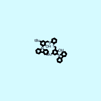 CC(C)(C)c1cc(CSc2ccccc2SCc2cc(C(C)(C)C)cc(-n3c4ccccc4c4ccccc43)c2O)c(O)c(-n2c3ccccc3c3ccccc32)c1